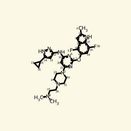 Cc1cc2c(F)c(Oc3nc(Nc4cc(C5CC5)[nH]n4)cc(N4CCN(CCN(C)C)CC4)n3)cc(F)c2[nH]1